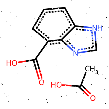 CC(=O)O.O=C(O)c1cccc2[nH]cnc12